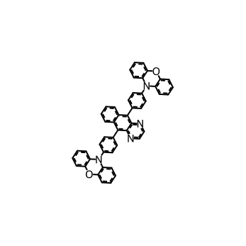 c1ccc2c(c1)Oc1ccccc1N2c1ccc(-c2c3ccccc3c(-c3ccc(N4c5ccccc5Oc5ccccc54)cc3)c3nccnc23)cc1